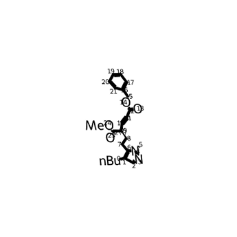 CCCCc1cnn(C)c1CC[C@H](C#CC(=O)OCc1ccccc1)C(=O)OC